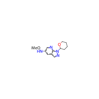 CONc1cnc2c(cnn2C2CCCCO2)c1